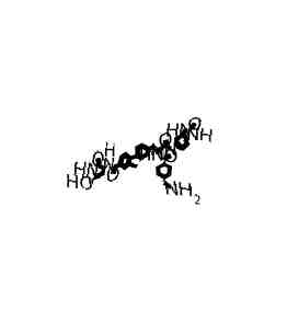 Cc1cc(C(=O)N[C@@H]2C[C@@H](CO)NC2=O)ccc1-c1ccc(C[C@H](NC(=O)[C@H]2CC[C@H](CN)CC2)C(=O)Nc2ccc3[nH]c(=O)[nH]c3c2)cc1